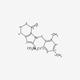 CCOC(=O)c1cc2c(n1Cc1c(C)cc(C)cc1C)C(=O)CCC2